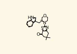 CC1(C)CC(=O)c2sc(N3CCOC[C@@H]3Cc3c[nH]c4ccccc34)nc2C1